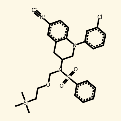 [C-]#[N+]c1ccc2c(c1)CC(N(COCC[Si](C)(C)C)S(=O)(=O)c1ccccc1)CN2c1cccc(Cl)c1